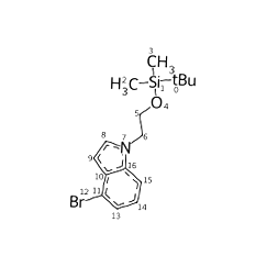 CC(C)(C)[Si](C)(C)OCCn1ccc2c(Br)cccc21